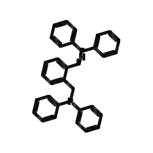 C(c1ccccc1CP(c1ccccc1)c1ccccc1)=[PH](c1ccccc1)c1ccccc1